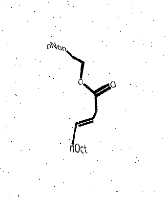 CCCCCCCCC=CC(=O)OCCCCCCCCCC